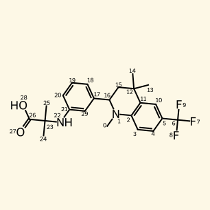 CN1c2ccc(C(F)(F)F)cc2C(C)(C)CC1c1cccc(NC(C)(C)C(=O)O)c1